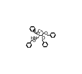 CC[C@@H](OCc1ccccc1)[C@@H](OCc1ccccc1)[C@@H](CNOCc1ccccc1)OCc1ccccc1